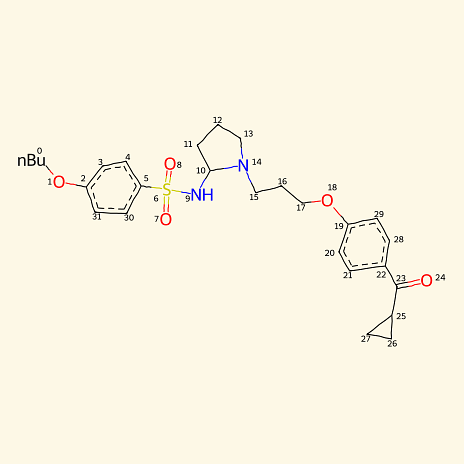 CCCCOc1ccc(S(=O)(=O)NC2CCCN2CCCOc2ccc(C(=O)C3CC3)cc2)cc1